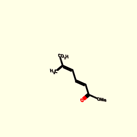 COC(=O)C=CC=C(C)C(=O)O